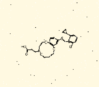 O=C(O)CCN1CCCCOc2cc(SCc3c(Cl)cccc3C3CC3)ccc2CCC1